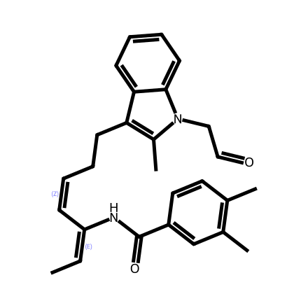 C/C=C(\C=C/CCc1c(C)n(CC=O)c2ccccc12)NC(=O)c1ccc(C)c(C)c1